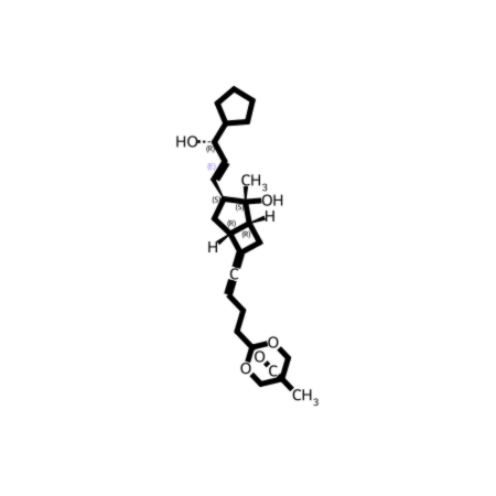 CC12COC(CCC=C=C3C[C@@H]4[C@H]3C[C@@H](/C=C/[C@H](O)C3CCCC3)[C@]4(C)O)(OC1)OC2